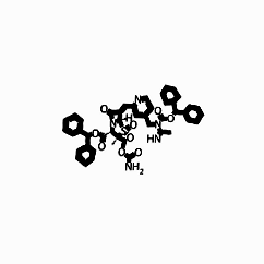 CC(=N)N(Cc1ccnc(/C=C2/C(=O)N3[C@@H](C(=O)OC(c4ccccc4)c4ccccc4)[C@](C)(COC(N)=O)S(=O)(=O)[C@H]23)c1)C(=O)OC(c1ccccc1)c1ccccc1